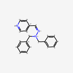 C(=N/N(Cc1ccccc1)Cc1ccccc1)/c1ccncc1